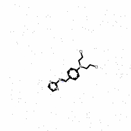 ClCCN(CCCl)c1ccc(/C=N/c2nccs2)cc1